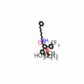 CC(C)(COc1c(-c2cccc(C(F)(F)F)c2)cc(C(=O)NCCCCCCCc2ccccc2)cc1-c1cccc(C(F)(F)F)c1)C(=O)O